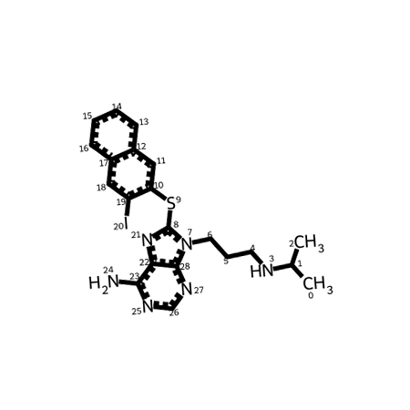 CC(C)NCCCn1c(Sc2cc3ccccc3cc2I)nc2c(N)ncnc21